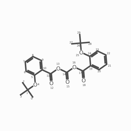 CC(C)(C)Oc1ccccc1C(=O)OC(=O)OC(=O)c1ccccc1OC(C)(C)C